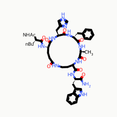 CCCC[C@H](NC(C)=O)C(=O)N[C@H]1CCC(=O)NCCC(C(=O)N[C@@H](Cc2c[nH]c3ccccc23)C(N)=O)NC(=O)[C@H](C)NC(=O)[C@@H](Cc2ccccc2)NC(=O)[C@H](Cc2c[nH]cn2)NC1=O